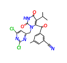 Cc1cc(C#N)cc(C(=O)c2c(C(C)C)c(=O)[nH]c(=O)n2Cc2cc(Cl)nc(Cl)n2)c1